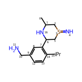 CC1CS(=N)CC(c2cc(CN)ccc2C(C)C)N1